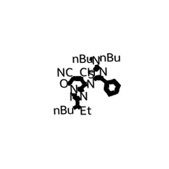 CCCCC(CC)c1nc2n(n1)C(=O)C(C#N)=C(C)/C2=N\c1sc(N(CCCC)CCCC)nc1-c1ccccc1